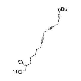 CCCCC#CCC#CCC#CCCCCCC(=O)CO